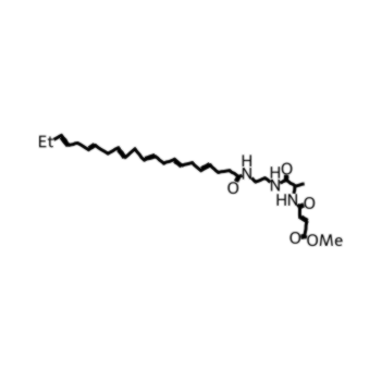 CCC=CCC=CCC=CCC=CCC=CCC=CCCC(=O)NCCNC(=O)C(C)NC(=O)C=CC(=O)OC